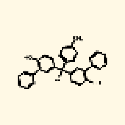 CCC(c1ccc(C)cc1)(c1ccc(O)c(-c2ccccc2)c1)c1ccc(O)c(-c2ccccc2)c1